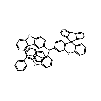 c1ccc(N(c2ccccc2)c2cccc3oc4ccc(N(c5ccc6c(c5)Oc5ccccc5C65c6ccccc6-c6ccccc65)c5cccc6oc7ccccc7c56)cc4c23)cc1